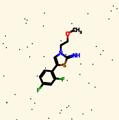 COCCn1cc(-c2ccc(F)cc2F)sc1=N